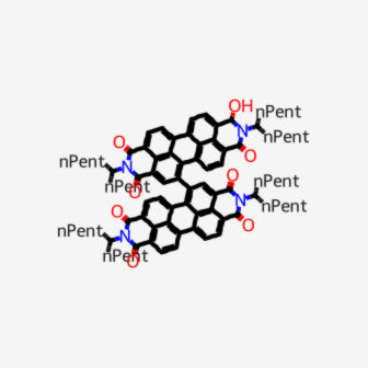 CCCCCC(CCCCC)N1C(=O)c2ccc3c4ccc5c6c(cc(-c7cc8c9c(ccc%10c%11ccc%12c%13c(ccc(c7c9%10)c%13%11)C(=O)N(C(CCCCC)CCCCC)C%12O)C(=O)N(C(CCCCC)CCCCC)C8=O)c(c7ccc(c2c37)C1=O)c64)C(=O)N(C(CCCCC)CCCCC)C5=O